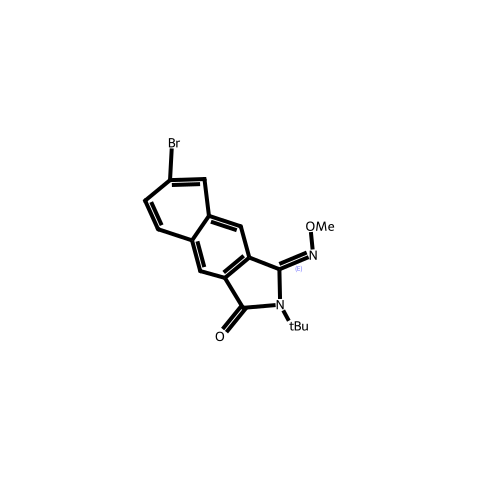 CO/N=C1\c2cc3cc(Br)ccc3cc2C(=O)N1C(C)(C)C